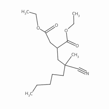 CCCCCC(C)(C#N)CC(CC(=O)OCC)C(=O)OCC